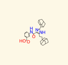 O=C(O)c1cccc(NC(=O)c2nc(C3C4CC5CC(C4)CC3C5)[nH]c2CCC23CC4CC(CC(C4)C2)C3)c1